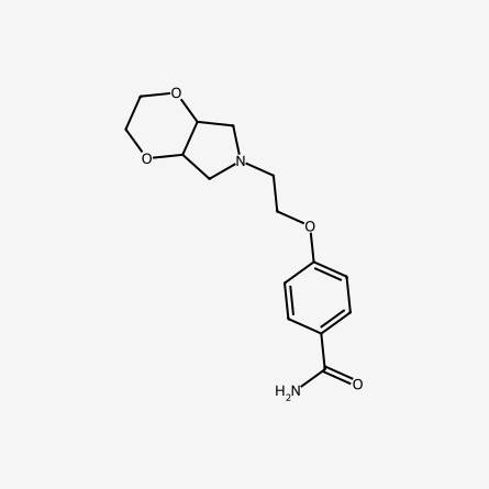 NC(=O)c1ccc(OCCN2CC3OCCOC3C2)cc1